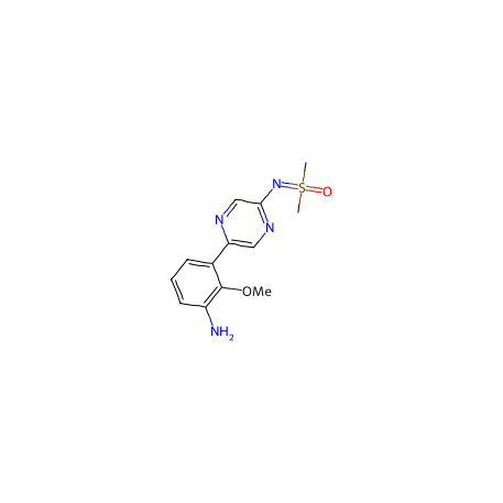 COc1c(N)cccc1-c1cnc(N=S(C)(C)=O)cn1